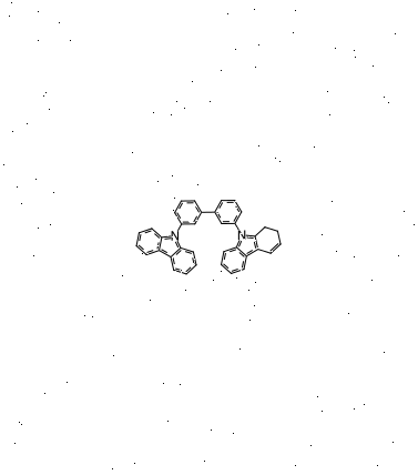 C1=Cc2c(n(-c3cccc(-c4cccc(-n5c6ccccc6c6ccccc65)c4)c3)c3ccccc23)CC1